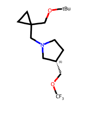 CC(C)(C)OCC1(CN2CC[C@H](COC(F)(F)F)C2)CC1